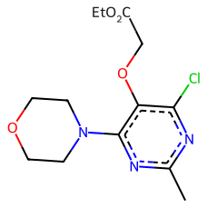 CCOC(=O)COc1c(Cl)nc(C)nc1N1CCOCC1